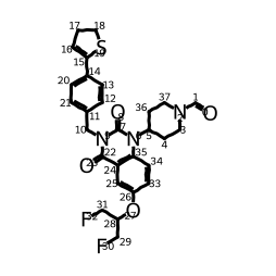 O=CN1CCC(n2c(=O)n(Cc3ccc(C4=CCCS4)cc3)c(=O)c3cc(OC(CF)CF)ccc32)CC1